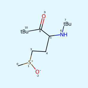 C[S+]([O-])CCC(NC(C)(C)C)C(=O)C(C)(C)C